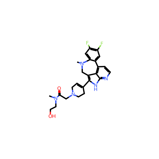 CN(CCO)C(=O)CN1CC=C(c2[nH]c3nccc4c3c2CN(C)c2cc(F)c(F)cc2-4)CC1